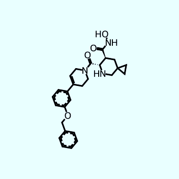 O=C(NO)[C@H]1CC2(CC2)CN[C@@H]1C(=O)N1CC=C(c2cccc(OCc3ccccc3)c2)CC1